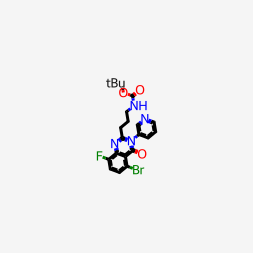 CC(C)(C)OC(=O)NCCCc1nc2c(F)ccc(Br)c2c(=O)n1-c1cccnc1